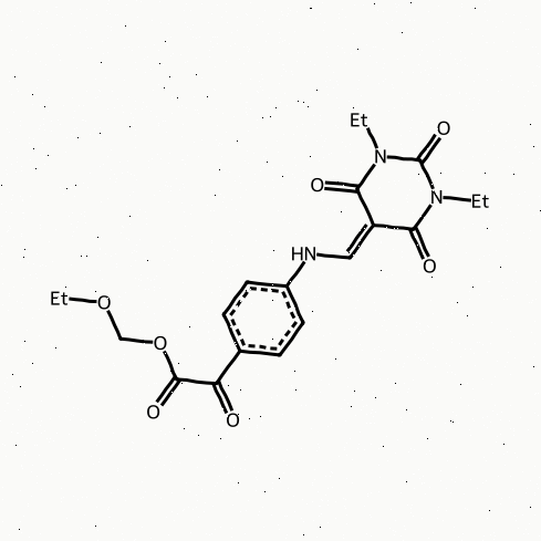 CCOCOC(=O)C(=O)c1ccc(NC=C2C(=O)N(CC)C(=O)N(CC)C2=O)cc1